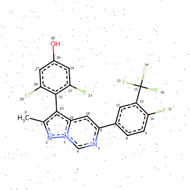 Cc1nn2cnc(-c3ccc(F)c(C(F)(F)F)c3)cc2c1-c1c(F)cc(O)cc1F